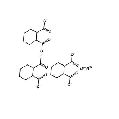 O=C([O-])C1CCCCC1C(=O)[O-].O=C([O-])C1CCCCC1C(=O)[O-].O=C([O-])C1CCCCC1C(=O)[O-].[Al+3].[Al+3]